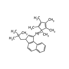 CC1=C(C)[C](C)([Hf+2][C]2=CC(C[Si](C)(C)C)c3ccc4ccccc4c32)C(C)=C1C